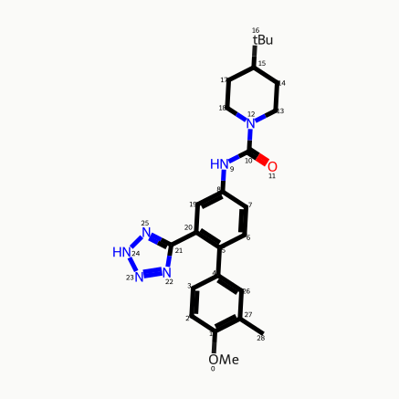 COc1ccc(-c2ccc(NC(=O)N3CCC(C(C)(C)C)CC3)cc2-c2nn[nH]n2)cc1C